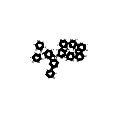 c1ccc(-c2ccc3c(c2)c2cc(N(c4ccccc4)c4ccccc4)ccc2n3-c2ccc([Si]3(c4ccccc4)c4ccccc4[Si](c4ccccc4)(c4ccccc4)c4ccccc43)cc2)cc1